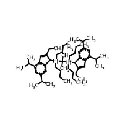 CCC[CH2][Hf]([CH2]CCC)([CH]1C(CC)=Cc2c(C(C)C)cc(C(C)C)cc21)[C](C)(C)[Hf]([CH2]CCC)([CH2]CCC)[CH]1C(CC)=Cc2c(C(C)C)cc(C(C)C)cc21